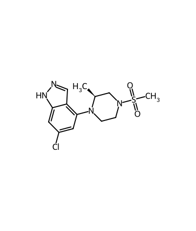 C[C@H]1CN(S(C)(=O)=O)CCN1c1cc(Cl)cc2[nH]ncc12